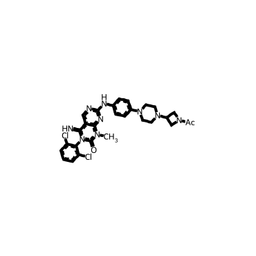 CC(=O)N1CC(N2CCN(c3ccc(Nc4ncc5c(=N)n(-c6c(Cl)cccc6Cl)c(=O)n(C)c5n4)cc3)CC2)C1